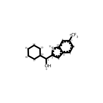 OC(c1cc2ccc(C(F)(F)F)cc2s1)C1CCCCC1